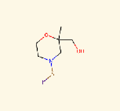 CC1(CO)CN(SI)CCO1